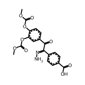 COC(=O)Oc1ccc(C(=O)C(=NN)c2ccc(C(=O)O)cc2)cc1OC(=O)OC